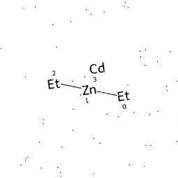 C[CH2][Zn][CH2]C.[Cd]